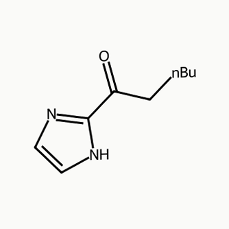 CCCCCC(=O)c1ncc[nH]1